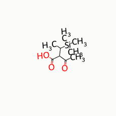 CC(=O)C(C(=O)O)C(C)[Si](C)(C)C